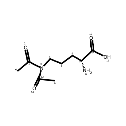 CC(=O)N(CCC[C@@H](N)C(=O)O)C(C)=O